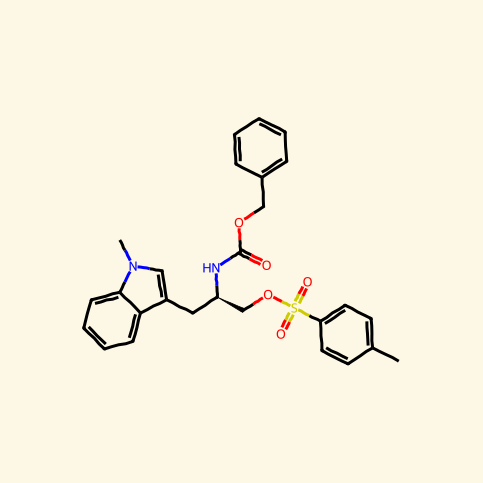 Cc1ccc(S(=O)(=O)OC[C@@H](Cc2cn(C)c3ccccc23)NC(=O)OCc2ccccc2)cc1